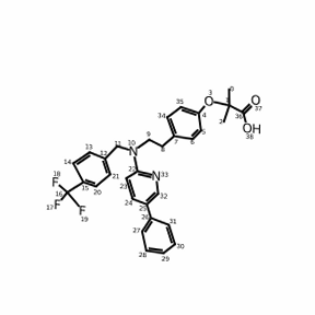 CC(C)(Oc1ccc(CCN(Cc2ccc(C(F)(F)F)cc2)c2ccc(-c3ccccc3)cn2)cc1)C(=O)O